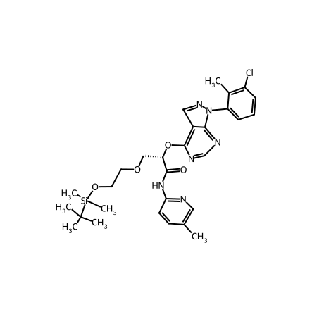 Cc1ccc(NC(=O)[C@H](COCCO[Si](C)(C)C(C)(C)C)Oc2ncnc3c2cnn3-c2cccc(Cl)c2C)nc1